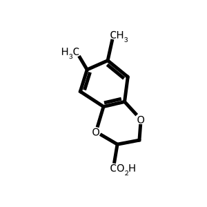 Cc1cc2c(cc1C)OC(C(=O)O)CO2